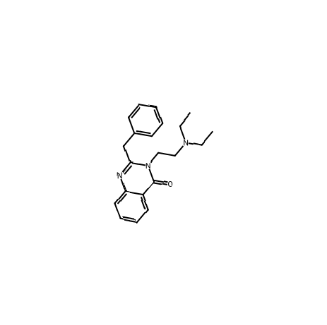 CCN(CC)CCn1c(Cc2ccccc2)nc2ccccc2c1=O